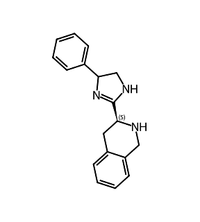 c1ccc(C2CNC([C@@H]3Cc4ccccc4CN3)=N2)cc1